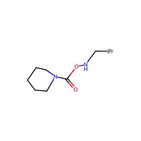 CC(C)CNOC(=O)N1CCCCC1